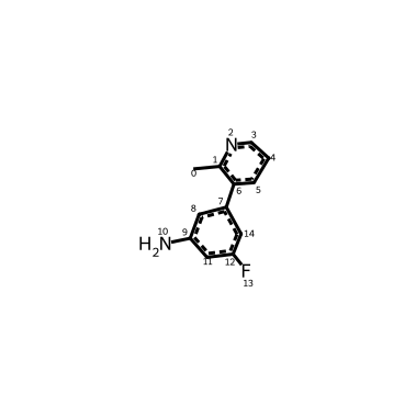 Cc1ncccc1-c1cc(N)cc(F)c1